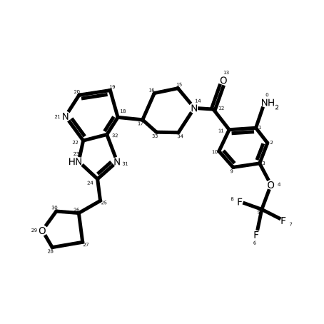 Nc1cc(OC(F)(F)F)ccc1C(=O)N1CCC(c2ccnc3[nH]c(CC4CCOC4)nc23)CC1